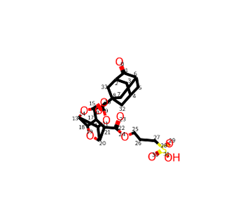 O=C1C2CC3CC1CC(C(=O)OC1C4OC(=O)C5C4OC1C5C(=O)OCCCS(=O)(=O)O)(C3)C2